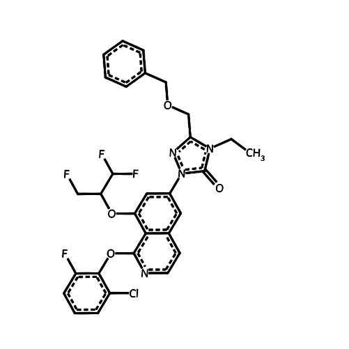 CCn1c(COCc2ccccc2)nn(-c2cc(OC(CF)C(F)F)c3c(Oc4c(F)cccc4Cl)nccc3c2)c1=O